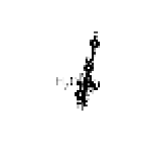 CCCn1c(-c2cccc(C(F)(F)F)c2)nc(=O)c2c1N=C(c1ccc(OCC#Cc3ccc(F)cc3)cc1)[N]2